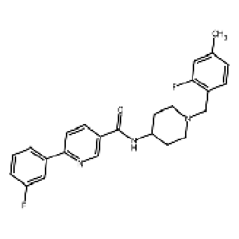 Cc1ccc(CN2CCC(NC(=O)c3ccc(-c4cccc(F)c4)nc3)CC2)c(F)c1